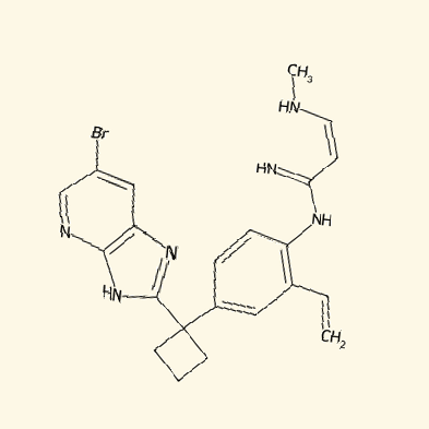 C=Cc1cc(C2(c3nc4cc(Br)cnc4[nH]3)CCC2)ccc1NC(=N)/C=C\NC